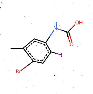 Cc1cc(NC(=O)O)c(I)cc1Br